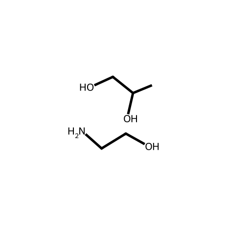 CC(O)CO.NCCO